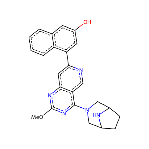 COc1nc(N2CC3CCC(C2)N3)c2cnc(-c3cc(O)cc4ccccc34)cc2n1